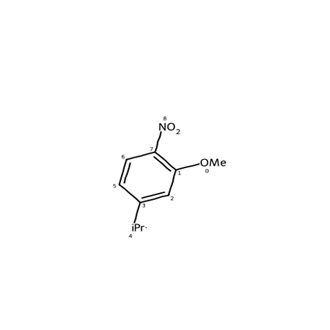 COc1cc([C](C)C)ccc1[N+](=O)[O-]